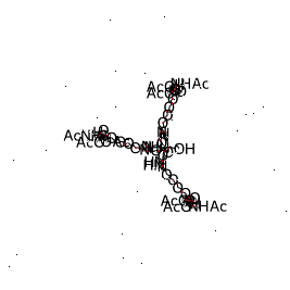 CC(=O)N[C@H]1[C@H]2OC[C@](COCCOCCOCCOCCN3C=C(COCC(COCc4cn(CCOCCOCCOCCOC[C@@]56CO[C@@H](O5)[C@H](NC(C)=O)[C@@H](OC(C)=O)[C@H]6OC(C)=O)nn4)(COCc4cn(CCOCCOCCOCCOC[C@@]56CO[C@@H](O5)[C@H](NC(C)=O)[C@@H](OC(C)=O)[C@H]6OC(C)=O)nn4)NC(=O)CCCO)NN3)(O2)[C@H](OC(C)=O)[C@@H]1OC(C)=O